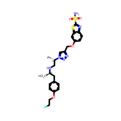 CC(C)[C@@H](CN[C@@H](Cc1ccc(OCCF)cc1)C(=O)O)n1cc(COc2ccc3nc(S(N)(=O)=O)sc3c2)nn1